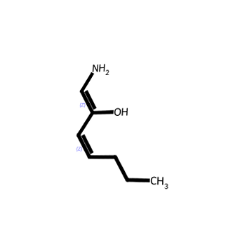 CCC/C=C\C(O)=C\N